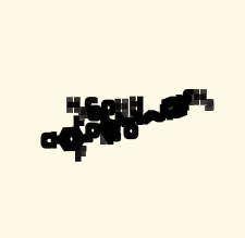 COC(=O)c1c(OCc2c(F)cc(Cl)cc2F)nsc1NC(=O)NCCCN1CC2CC1CN2C